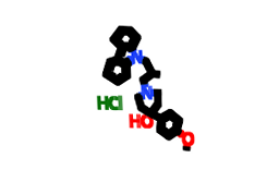 COc1ccc(C2(O)CCN(CC(C)Cn3c4ccccc4c4ccccc43)CC2)cc1.Cl